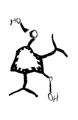 CC(C)c1ccc(OO)c(C(C)C)c1OO